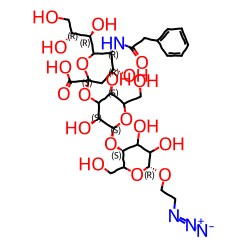 [N-]=[N+]=NCCO[C@@H]1OC(CO)[C@@H](O[C@@H]2OC(CO)[C@H](O)C(O[C@]3(C(=O)O)C[C@@H](O)[C@@H](NC(=O)Cc4ccccc4)C([C@H](O)[C@H](O)CO)O3)[C@@H]2O)C(O)C1O